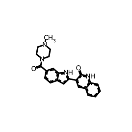 CN1CCN(C(=O)c2ccc3cc(-c4cc5ccccc5[nH]c4=O)[nH]c3c2)CC1